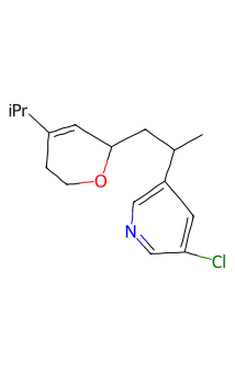 CC(C)C1=CC(CC(C)c2cncc(Cl)c2)OCC1